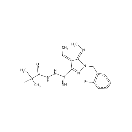 C/C=C1/C(C(=N)NNC(=O)C(C)(C)F)=NN(Cc2ccccc2F)/C1=N/C